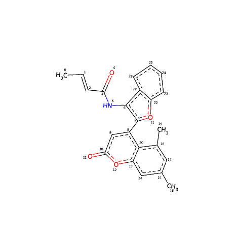 C/C=C/C(=O)Nc1c(-c2cc(=O)oc3cc(C)cc(C)c23)oc2ccccc12